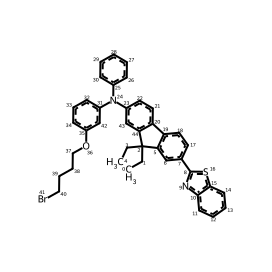 CCC1(CC)c2cc(-c3nc4ccccc4s3)ccc2-c2ccc(N(c3ccccc3)c3cccc(OCCCCBr)c3)cc21